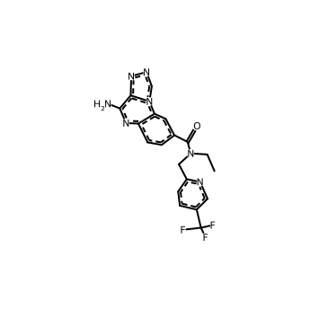 CCN(Cc1ccc(C(F)(F)F)cn1)C(=O)c1ccc2nc(N)c3nncn3c2c1